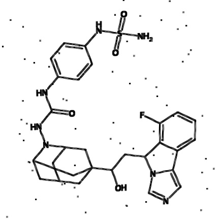 NS(=O)(=O)Nc1ccc(NC(=O)NN2C3CC4CC2CC(C(O)CC2c5c(F)cccc5-c5cncn52)(C4)C3)cc1